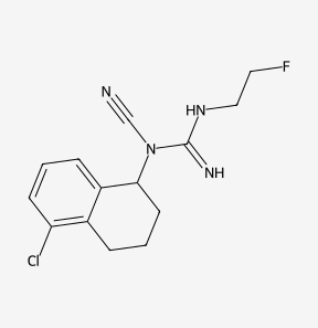 N#CN(C(=N)NCCF)C1CCCc2c(Cl)cccc21